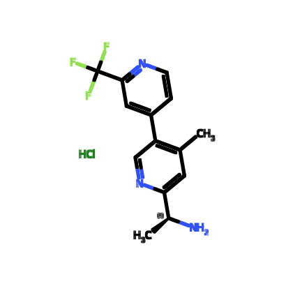 Cc1cc([C@H](C)N)ncc1-c1ccnc(C(F)(F)F)c1.Cl